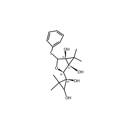 CC1(C)C(O)[C@@]1(O)[C@H]1OC(Sc2ccccc2)[C@]2(O)C(C)(C)[C@]12O